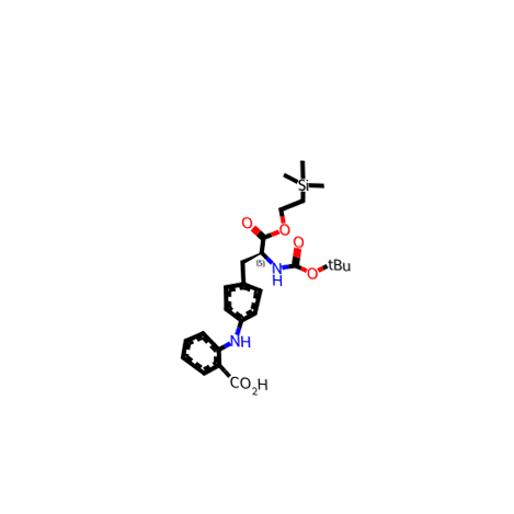 CC(C)(C)OC(=O)N[C@@H](Cc1ccc(Nc2ccccc2C(=O)O)cc1)C(=O)OCC[Si](C)(C)C